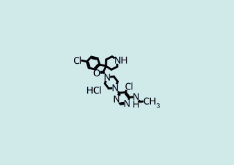 CCNc1ncnc(N2CCN(C(=O)C3(c4ccc(Cl)cc4)CCNCC3)CC2)c1Cl.Cl